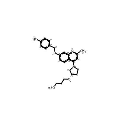 COCCCO[C@H]1CCN(c2cc(C)nc3cc(OCc4ccc(C#N)cc4)ccc23)C1